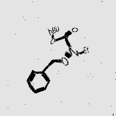 CCCCOC(=O)N(CC)OCc1ccccc1